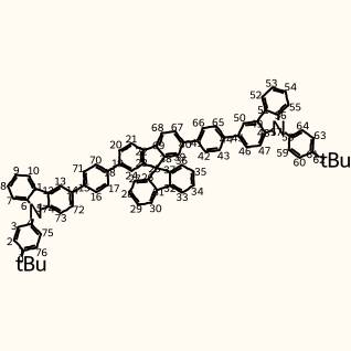 CC(C)(C)c1ccc(-n2c3ccccc3c3cc(-c4ccc(-c5ccc6c(c5)C5(c7ccccc7-c7ccccc75)c5cc(-c7ccc(-c8ccc9c(c8)c8ccccc8n9-c8ccc(C(C)(C)C)cc8)cc7)ccc5-6)cc4)ccc32)cc1